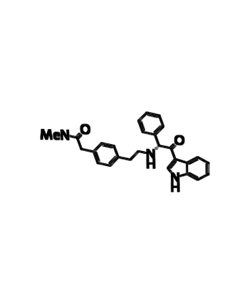 CNC(=O)Cc1ccc(CCN[C@@H](C(=O)c2c[nH]c3ccccc23)c2ccccc2)cc1